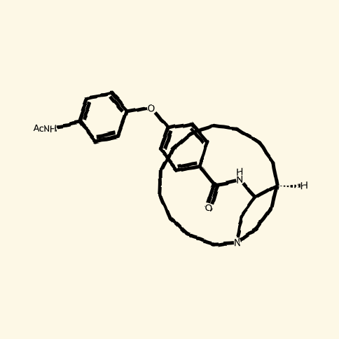 CC(=O)Nc1ccc(Oc2ccc(C(=O)NC3CN4CCCCCCCCCCC[C@H]3CC4)cc2)cc1